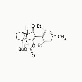 CCc1cc(C)cc(CC)c1C1=C(OC(=O)OCC(C)C)[C@@H]2[C@H]3CCC(O3)[C@@H]2C1=O